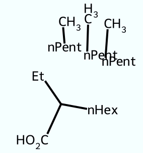 CCCCCC.CCCCCC.CCCCCC.CCCCCCC(CC)C(=O)O